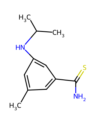 Cc1cc(NC(C)C)cc(C(N)=S)c1